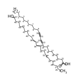 CCCCCCCCCCC#CC#CCCCCCCCCC(=O)O.CCCCCCCCCCC=CC=CCCCCCCCCCO